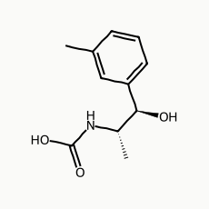 Cc1cccc([C@@H](O)[C@H](C)NC(=O)O)c1